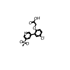 CS(=O)(=O)c1cncc(-c2cc(Cl)ccc2OCC(=O)O)c1